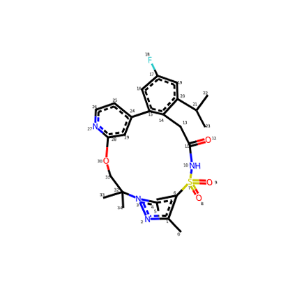 Cc1nn2c(C)c1S(=O)(=O)NC(=O)Cc1c(cc(F)cc1C(C)C)-c1ccnc(c1)OCC2(C)C